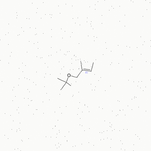 C/C=C(\C)COC(C)(C)C